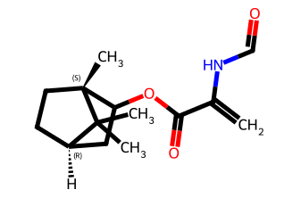 C=C(NC=O)C(=O)OC1C[C@H]2CC[C@@]1(C)C2(C)C